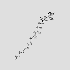 CCCCCCCCCCCCCCCCCC(=O)C=CC(=O)O